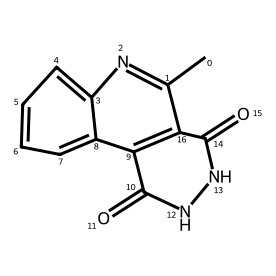 Cc1nc2ccccc2c2c(=O)[nH][nH]c(=O)c12